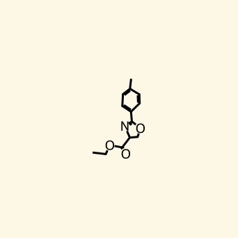 CCOC(=O)C1COC(c2ccc(C)cc2)=N1